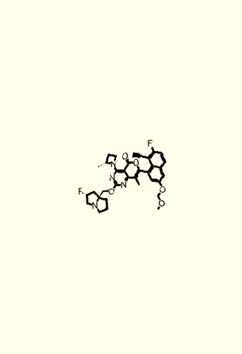 C#Cc1c(F)ccc2cc(OCOC)cc(-c3oc(=O)c4c(N5CC[C@H]5C)nc(OC[C@@]56CCCN5C[C@H](F)C6)nc4c3C)c12